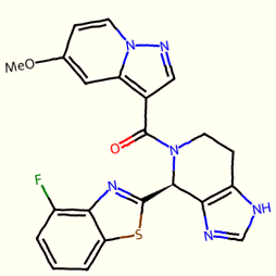 COc1ccn2ncc(C(=O)N3CCc4[nH]cnc4[C@H]3c3nc4c(F)cccc4s3)c2c1